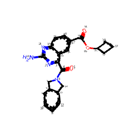 Nc1nc(C(=O)N2Cc3ccccc3C2)c2cc(C(=O)OC3CCC3)ccc2n1